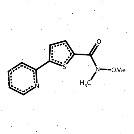 CON(C)C(=O)c1ccc(-c2ccccn2)s1